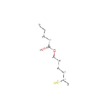 CCCCC(=O)OCCCCC(C)S